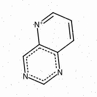 C1=Cc2ncncc2[N+]=C1